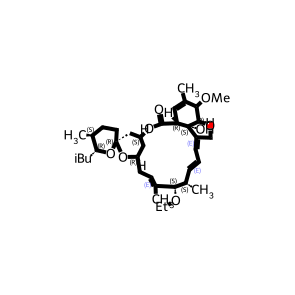 CCO[C@@H]1/C(C)=C/C[C@@H]2C[C@@H](C[C@]3(CC[C@H](C)[C@@H](C(C)CC)O3)O2)OC(=O)[C@@H]2C=C(C)C(OC)[C@H]3OC/C(=C\C=C\[C@@H]1C)[C@]32O